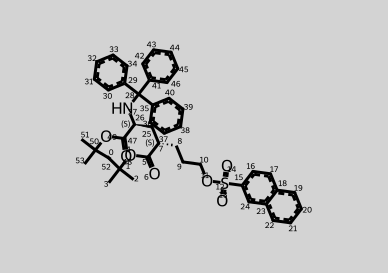 CC(C)(C)OC(=O)[C@@H](CCCOS(=O)(=O)c1ccc2ccccc2c1)C[C@H](NC(c1ccccc1)(c1ccccc1)c1ccccc1)C(=O)OC(C)(C)C